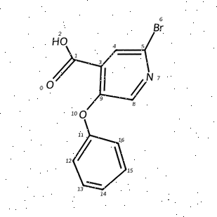 O=C(O)c1cc(Br)ncc1Oc1ccccc1